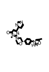 CC1=CN(c2ccc([C@H]3CN(c4nc(-c5ccncn5)cc(=O)n4C)CCO3)cc2)NO1